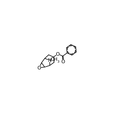 CN1C2CC(OC(=O)c3ccccc3)CC1C1OC12